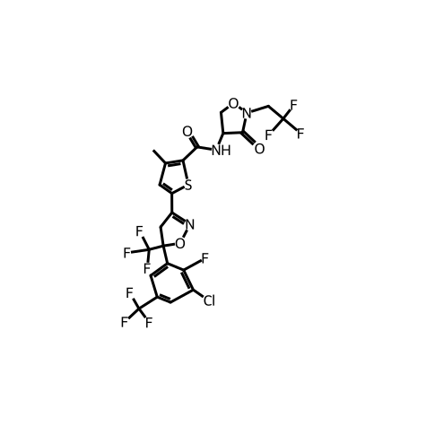 Cc1cc(C2=NOC(c3cc(C(F)(F)F)cc(Cl)c3F)(C(F)(F)F)C2)sc1C(=O)NC1CON(CC(F)(F)F)C1=O